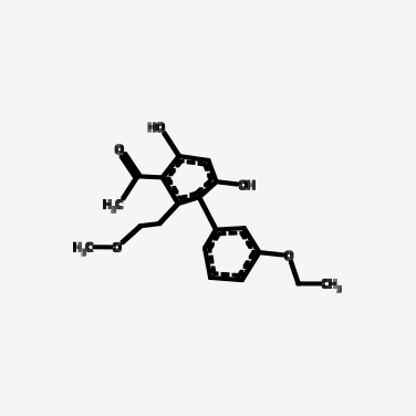 CCOc1cccc(-c2c(O)cc(O)c(C(C)=O)c2CCOC)c1